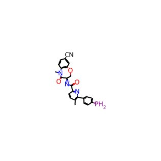 Cc1ccc(C(=O)/N=C2\COc3cc(C#N)ccc3N(C)C2=O)nc1-c1ccc(P)cc1